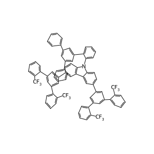 FC(F)(F)c1ccccc1-c1cc(-c2ccc3c(c2)c2cc(-c4cc(-c5ccccc5C(F)(F)F)cc(-c5ccccc5C(F)(F)F)c4)ccc2n3-c2ccccc2-c2cc(-c3ccccc3)cc(-c3ccccc3)c2)cc(-c2ccccc2C(F)(F)F)c1